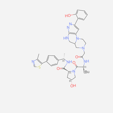 Cc1ncsc1-c1ccc([C@H](C)NC(=O)[C@@H]2C[C@@H](O)CN2C(=O)[C@@H](NC(=O)CN2CCN3c4cc(-c5ccccc5O)nnc4NCC3C2)C(C)(C)C)cc1